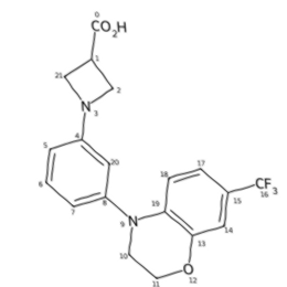 O=C(O)C1CN(c2cccc(N3CCOc4cc(C(F)(F)F)ccc43)c2)C1